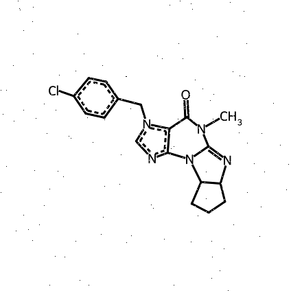 CN1C(=O)c2c(ncn2Cc2ccc(Cl)cc2)N2C1=NC1CCCC12